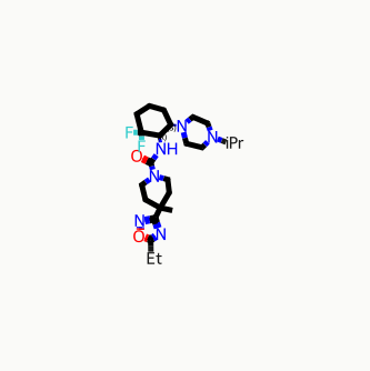 CCc1nc(C2(C)CCN(C(=O)N[C@@H]3[C@@H](N4CCN(C(C)C)CC4)CCCC3(F)F)CC2)no1